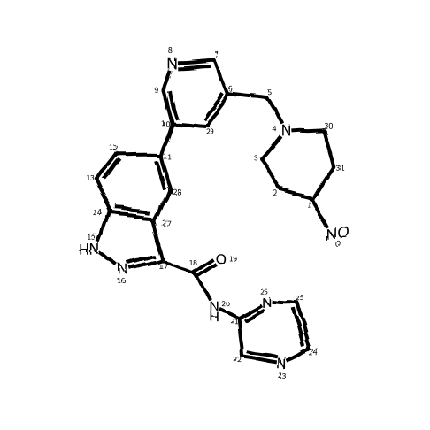 O=NC1CCN(Cc2cncc(-c3ccc4[nH]nc(C(=O)Nc5cnccn5)c4c3)c2)CC1